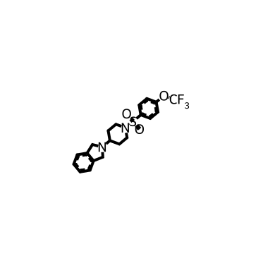 O=S(=O)(c1ccc(OC(F)(F)F)cc1)N1CCC(N2Cc3ccccc3C2)CC1